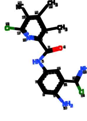 Cc1c(C(=O)Nc2ccc(N)c(C(=N)Cl)c2)nc(Cl)c(C#N)c1C